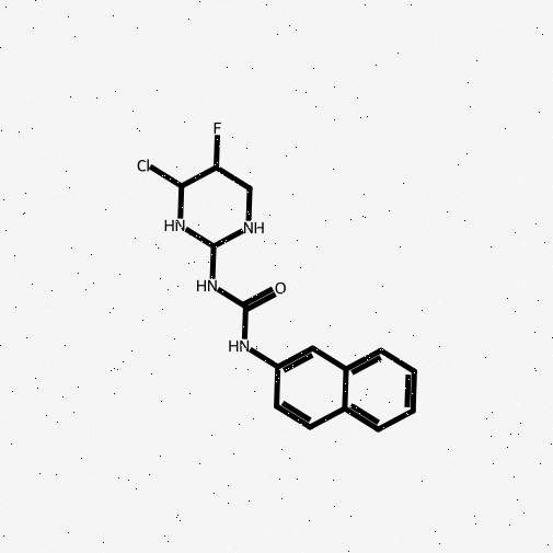 O=C(Nc1ccc2ccccc2c1)NC1NCC(F)C(Cl)N1